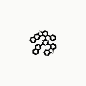 c1ccc(-c2ccc3oc4cc5ccccc5cc4c3c2-c2nc(-c3ccc4ccccc4c3)nc(-c3cccc4oc5ccccc5c34)n2)cc1